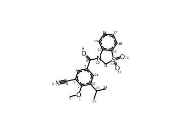 COc1c(C#N)cc(C(=O)N2CS(=O)(=O)c3ccccc32)cc1C(C)C